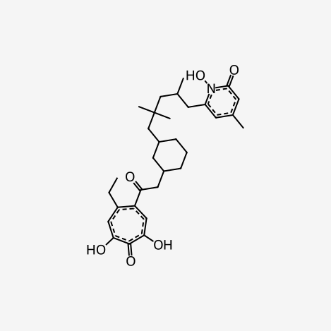 CCc1cc(O)c(=O)c(O)cc1C(=O)CC1CCCC(CC(C)(C)CC(C)Cc2cc(C)cc(=O)n2O)C1